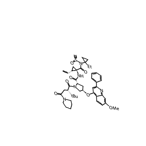 C=C[C@@H]1C[C@]1(NC(=O)[C@@H]1C[C@@H](Oc2cc(-c3ccccc3)nc3cc(OC)ccc23)CN1C(=O)[C@@H](CC(=O)N1CCCCC1)C(C)(C)C)C(=O)N([SH](=O)=O)C1(CC)CC1